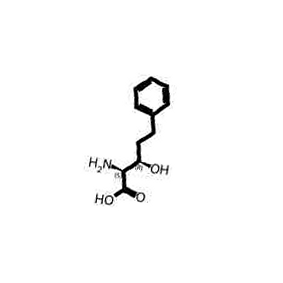 N[C@H](C(=O)O)[C@H](O)CCc1ccccc1